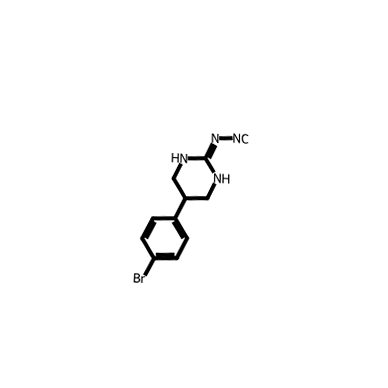 [C-]#[N+]N=C1NCC(c2ccc(Br)cc2)CN1